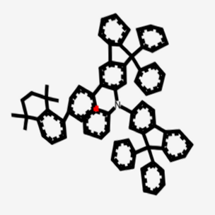 CC1(C)CCC(C)(C)c2c(-c3ccc(-c4cc5c(cc4N(c4ccccc4)c4ccc6c(c4)C(c4ccccc4)(c4ccccc4)c4ccccc4-6)C(c4ccccc4)(c4ccccc4)c4ccccc4-5)cc3)cccc21